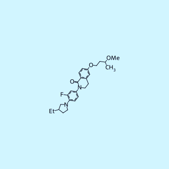 CCC1CCN(c2ccc(N3CCc4cc(OCCC(C)OC)ccc4C3=O)cc2F)C1